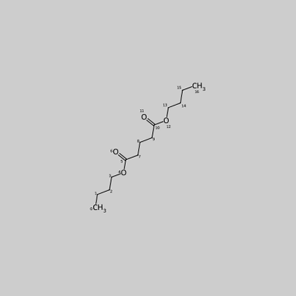 CCCCOC(=O)CCCC(=O)OCCCC